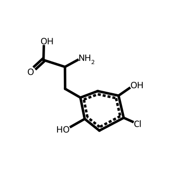 NC(Cc1cc(O)c(Cl)cc1O)C(=O)O